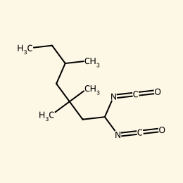 CCC(C)CC(C)(C)CC(N=C=O)N=C=O